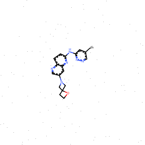 CC(C)c1cnnc(Nc2ccc3ncc(N4CC5(CCO5)C4)cc3n2)c1